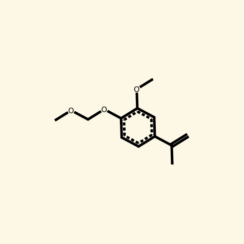 C=C(C)c1ccc(OCOC)c(OC)c1